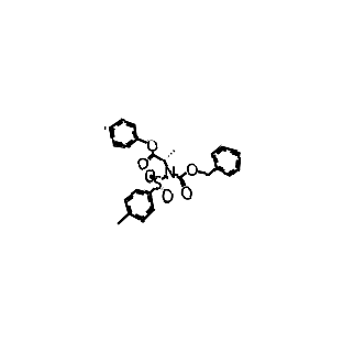 Cc1ccc(S(=O)(=O)N(C(=O)OCc2ccccc2)[C@@H](C)C(=O)Oc2cc[c]cc2)cc1